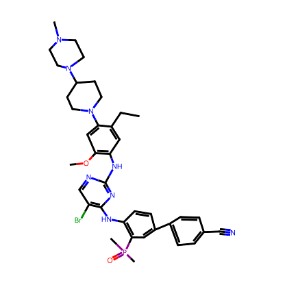 CCc1cc(Nc2ncc(Br)c(Nc3ccc(-c4ccc(C#N)cc4)cc3P(C)(C)=O)n2)c(OC)cc1N1CCC(N2CCN(C)CC2)CC1